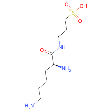 NCCCC[C@H](N)C(=O)NCCCS(=O)(=O)O